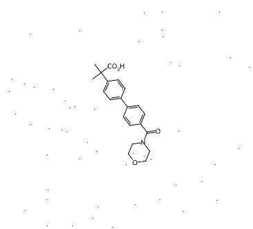 CC(C)(C(=O)O)c1ccc(-c2ccc(C(=O)N3CCOCC3)cc2)cc1